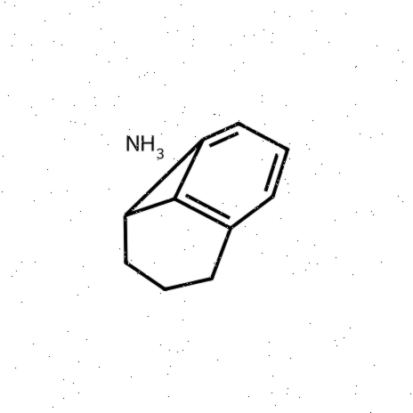 N.c1cc2c3c(c1)C3CCC2